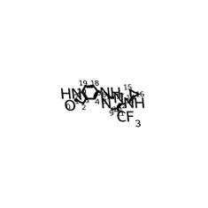 O=C1Cc2cc(Nc3ncc(C(F)(F)F)c(NC4CC4)n3)ccc2N1